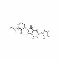 Cc1c(OC(C)C)cccc1-c1nc2ncc(-c3ccco3)cc2[nH]1